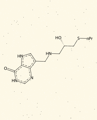 CCCSC[C@@H](O)CNCc1c[nH]c2c(=O)[nH]cnc12